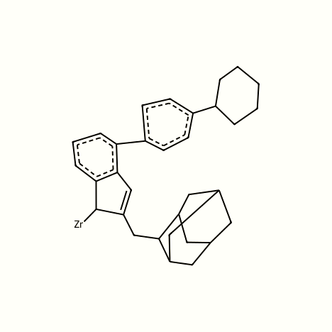 [Zr][CH]1C(CC2C3CC4CC(C3)CC2C4)=Cc2c(-c3ccc(C4CCCCC4)cc3)cccc21